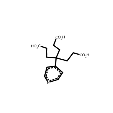 O=C(O)CCC(CCC(=O)O)(CCC(=O)O)c1ccncc1